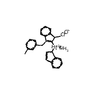 Cc1cccc(CC2=[C]([Hf+2](=[SiH2])[CH]3C=Cc4ccccc43)C(C)c3ccccc32)c1.[Cl-].[Cl-]